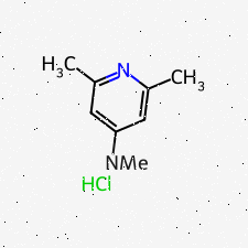 CNc1cc(C)nc(C)c1.Cl